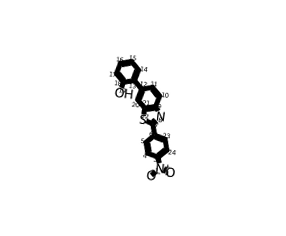 O=[N+]([O-])c1ccc(-c2nc3ccc(-c4ccccc4O)cc3s2)cc1